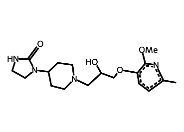 COc1nc(C)ccc1OCC(O)CN1CCC(N2CCNC2=O)CC1